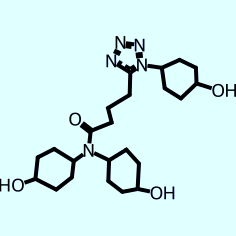 O=C(CCCc1nnnn1C1CCC(O)CC1)N(C1CCC(O)CC1)C1CCC(O)CC1